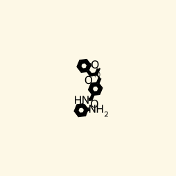 Nc1ccccc1NC(=O)c1ccc(C[C@@H]2COc3ccccc3C2=O)cc1